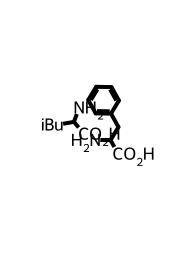 CCC(C)C(N)C(=O)O.NC(Cc1ccccc1)C(=O)O